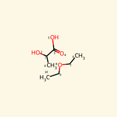 CC(O)C(=O)O.CCOCC